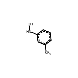 ONc1cccc(C(F)(F)F)c1